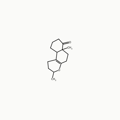 CC1CCC2=C(CCC3(C)C(=O)CCCC23)O1